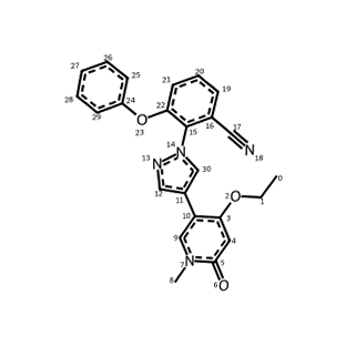 CCOc1cc(=O)n(C)cc1-c1cnn(-c2c(C#N)cccc2Oc2ccccc2)c1